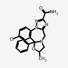 CC1CN2Cc3nc(C(N)=O)nn3-c3ccc(Cl)cc3C2(c2ccccc2)O1